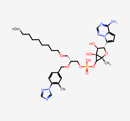 CCCCCCCCCCCCCCCCCCOC[C@H](COP(=O)(O)OC1[C@@]2(C)O[C@@H](c3ccc4c(N)ncnn34)[C@H](O)[C@@]12O)OCc1ccc(-n2cncn2)c(C#N)c1